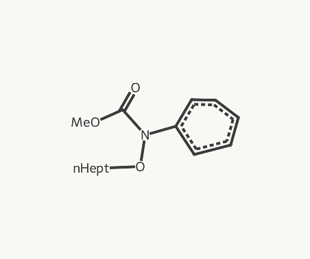 [CH2]OC(=O)N(OCCCCCCC)c1ccccc1